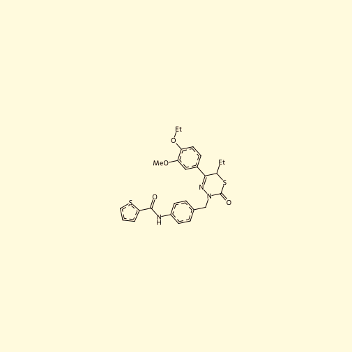 CCOc1ccc(C2=NN(Cc3ccc(NC(=O)c4cccs4)cc3)C(=O)SC2CC)cc1OC